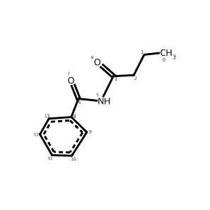 CCCC(=O)NC(=O)c1ccccc1